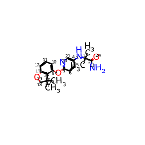 CC(C)(Nc1ccc(Oc2cccc3c2C(C)(C)CO3)nc1)C(N)=O